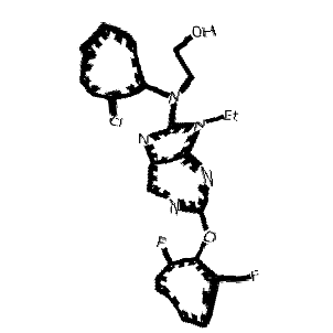 CCn1c(N(CCO)c2ccccc2Cl)nc2cnc(Oc3c(F)cccc3F)nc21